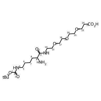 CC(C)(C)OC(=O)NCCCCC(N)C(=O)NCCOCCOCCOCCC(=O)O